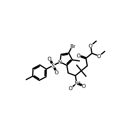 COC(OC)C(=O)CC(C)(C)C(Cc1c(C)c(Br)cn1S(=O)(=O)c1ccc(C)cc1)[N+](=O)[O-]